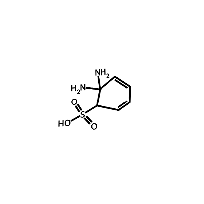 NC1(N)C=CC=CC1S(=O)(=O)O